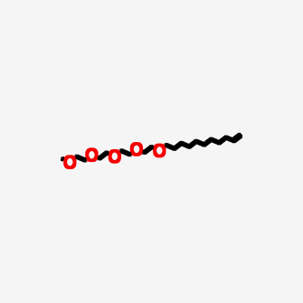 C=CCCCCCCCCCOCCOCCOCCOCCOC